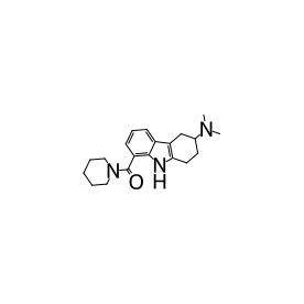 CN(C)C1CCc2[nH]c3c(C(=O)N4CCCCC4)cccc3c2C1